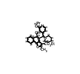 CCOC(=O)c1c(C)oc2c1c(C(c1ccnc(OC(C)C)c1)N1CCCCC1)c(O)c1ccccc12